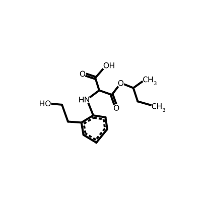 CCC(C)OC(=O)C(Nc1ccccc1CCO)C(=O)O